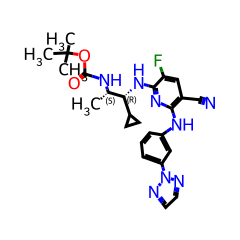 C[C@H](NC(=O)OC(C)(C)C)[C@H](Nc1nc(Nc2cccc(-n3nccn3)c2)c(C#N)cc1F)C1CC1